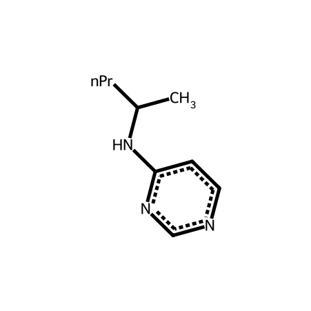 CCCC(C)Nc1ccncn1